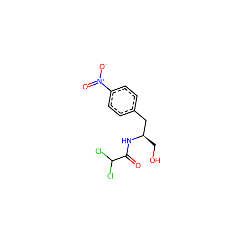 O=C(N[C@H](CO)Cc1ccc([N+](=O)[O-])cc1)C(Cl)Cl